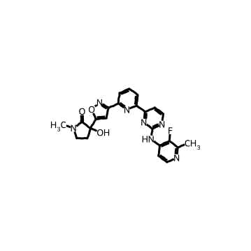 Cc1nccc(Nc2nccc(-c3cccc(-c4cc(C5(O)CCN(C)C5=O)on4)n3)n2)c1F